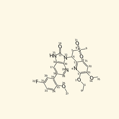 CCOc1nc(C(CS(C)(=O)=O)n2c(=O)[nH]c3cc(-c4cc(F)ccc4OC)cnc32)ccc1OC